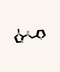 Cn1ccnc1NCc1cccs1